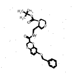 CC(C)(C)OC(=O)N1CCOCC1CNC(=O)C1COc2ccc(OCc3ccccc3)cc2O1